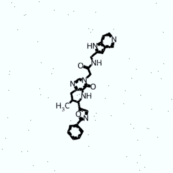 CC1Cc2ncn(CC(=O)NCc3cc4cnccc4[nH]3)c(=O)c2NC1c1cnc(-c2ccccc2)o1